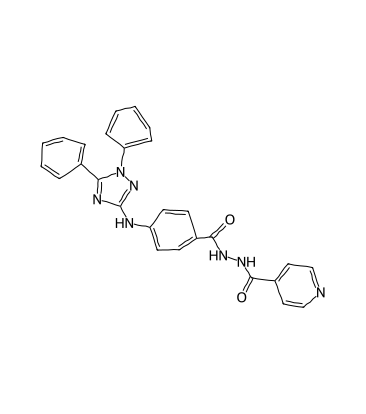 O=C(NNC(=O)c1ccc(Nc2nc(-c3ccccc3)n(-c3ccccc3)n2)cc1)c1ccncc1